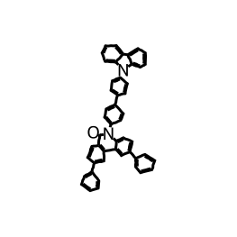 O=c1c2ccc(-c3ccccc3)cc2c2cc(-c3ccccc3)ccc2n1-c1ccc(-c2ccc(-n3c4ccccc4c4ccccc43)cc2)cc1